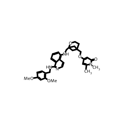 COc1ccc(CNc2nccc3c(NCC45CC(COc6cc(C)n(C)c(=O)c6)(CCO4)C5)cccc23)c(OC)c1